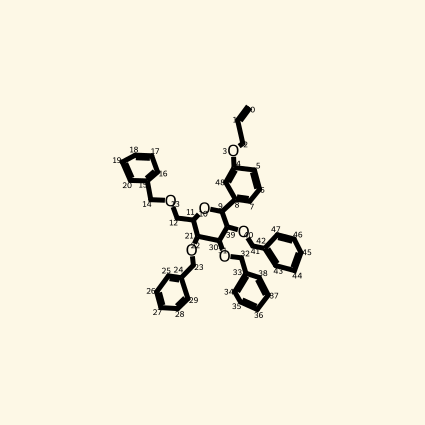 C=CCOc1cccc(C2OC(COCc3ccccc3)C(OCc3ccccc3)C(OCc3ccccc3)C2OCc2ccccc2)c1